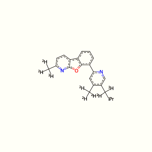 [2H]C([2H])([2H])c1ccc2c(n1)oc1c(-c3cc(C([2H])([2H])[2H])c(C([2H])([2H])C(C)C)cn3)cccc12